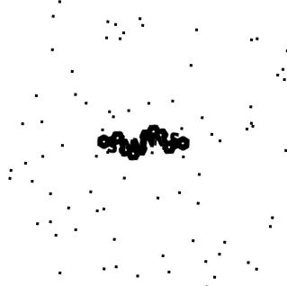 c1ccc2c(c1)sc1c(-c3ccc4ccc5ccc(-c6ccc7ccc8ccc(-c9cccc%10c9sc9ccccc9%10)nc8c7n6)nc5c4n3)cccc12